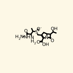 CC(O)C1C(=O)N2C(C(=O)O)=C(C[S+]([O-])C(C)C(N)C(=O)NN)CC12